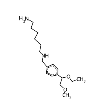 CCOC(COC)c1ccc(CNCCCCCCN)cc1